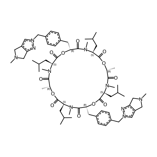 CC(C)C[C@H]1C(=O)O[C@H](Cc2ccc(Cn3cc4c(n3)CN(C)C4)cc2)C(=O)N(C)[C@@H](CC(C)C)C(=O)O[C@H](C)C(=O)N(C)[C@@H](CC(C)C)C(=O)O[C@H](Cc2ccc(Cn3cc4c(n3)CN(C)C4)cc2)C(=O)N(C)[C@@H](CC(C)C)C(=O)O[C@H](C)C(=O)N1C